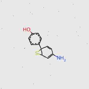 NC1=CC2SC2(c2ccc(O)cc2)C=C1